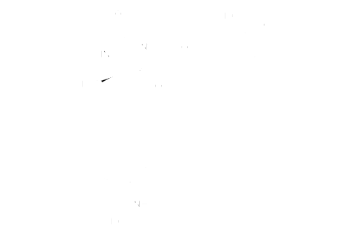 CNC(=O)Oc1ccc([C@]2(C)NC(=O)N(COCC[Si](C)(C)C)C2=O)cc1